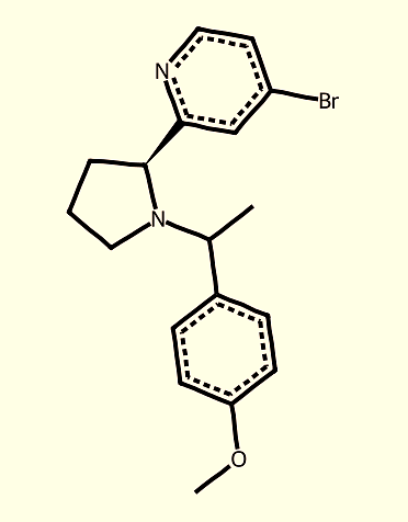 COc1ccc(C(C)N2CCC[C@H]2c2cc(Br)ccn2)cc1